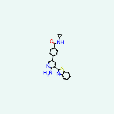 Nc1ncc(-c2ccc(C(=O)NC3CC3)cc2)cc1-c1nc2ccccc2s1